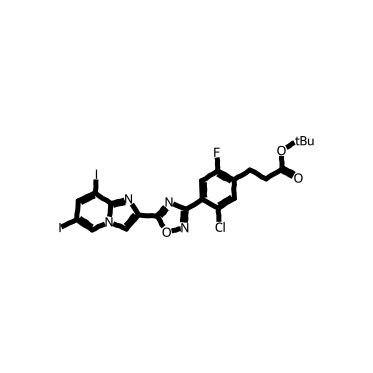 CC(C)(C)OC(=O)CCc1cc(Cl)c(-c2noc(-c3cn4cc(I)cc(I)c4n3)n2)cc1F